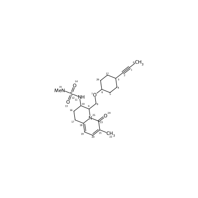 CC#CC1CCC(OCC2C(NS(=O)(=O)NC)CCc3ccc(C)c(=O)n32)CC1